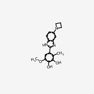 COc1cc(-c2nc3cc(N4CCC4)ccc3[nH]2)c(C)c(O)c1O